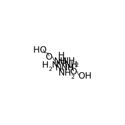 NC1=NC(N)(NCCOCCO)NC(N)(NCCOCCO)N1